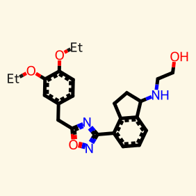 CCOc1ccc(Cc2nc(-c3cccc4c3CCC4NCCO)no2)cc1OCC